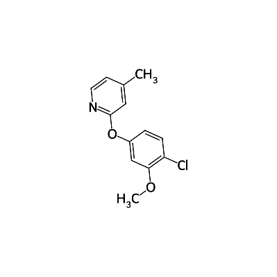 COc1cc(Oc2cc(C)ccn2)ccc1Cl